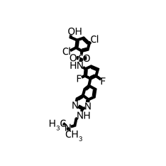 CN(C)CCNc1ncc2cc(-c3c(F)ccc(NS(=O)(=O)c4cc(Cl)cc(CO)c4Cl)c3F)ccc2n1